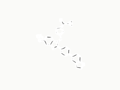 COc1ccc2c(c1)nc(-c1ccc(-c3ccc4occc4c3)cc1)n2CC1CCN(C(=O)C2CC2)C1